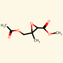 COC(=O)C1OC1(C)COC(C)=O